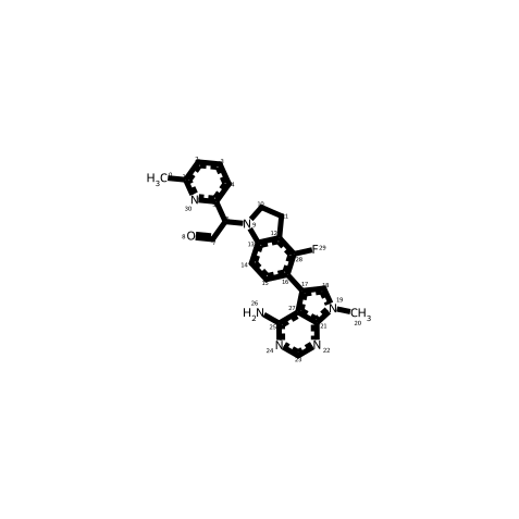 Cc1cccc(C(C=O)N2CCc3c2ccc(-c2cn(C)c4ncnc(N)c24)c3F)n1